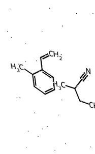 C=Cc1ccccc1C.CCC(C)C#N